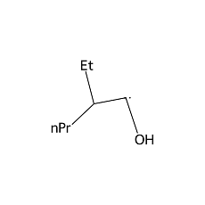 [CH2]CC([CH]O)CCC